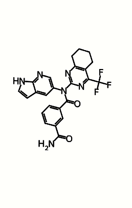 NC(=O)c1cccc(C(=O)N(c2cnc3[nH]ccc3c2)c2nc3c(c(C(F)(F)F)n2)CCCC3)c1